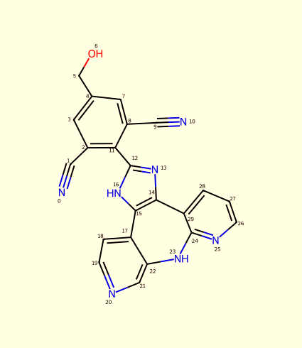 N#Cc1cc(CO)cc(C#N)c1-c1nc2c([nH]1)-c1ccncc1Nc1ncccc1-2